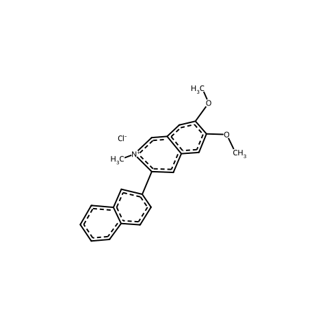 COc1cc2cc(-c3ccc4ccccc4c3)[n+](C)cc2cc1OC.[Cl-]